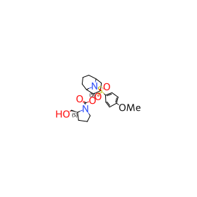 COc1ccc(S(=O)(=O)N2C3CCCC2[C@@H](OC(=O)N2CCC[C@H]2CO)CC3)cc1